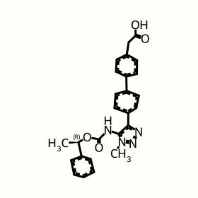 C[C@@H](OC(=O)Nc1c(-c2ccc(-c3ccc(CC(=O)O)cc3)cc2)nnn1C)c1ccccc1